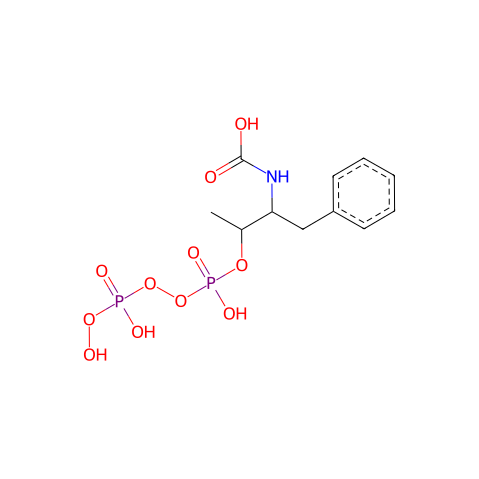 CC(OP(=O)(O)OOP(=O)(O)OO)C(Cc1ccccc1)NC(=O)O